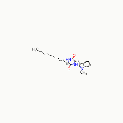 CCCCCCCCCCCC[C@@H]1NC(=O)[C@@H](Cc2cn(C)c3ccccc23)NC1=O